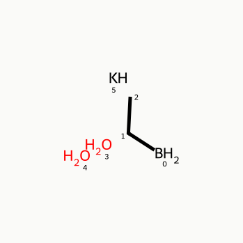 BCC.O.O.[KH]